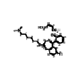 CN(C)CCCCCCSC1=Nc2ccc(Cl)cc2C(c2ccccc2Cl)=NC1.O=C(O)/C=C\C(=O)O